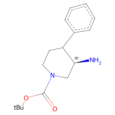 CC(C)(C)OC(=O)N1CCC(c2ccccc2)[C@@H](N)C1